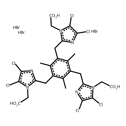 Br.Br.Br.Cc1c(Cc2nc(Cl)c(Cl)n2CC(=O)O)c(C)c(Cc2nc(Cl)c(Cl)n2CC(=O)O)c(C)c1Cc1nc(Cl)c(Cl)n1CC(=O)O